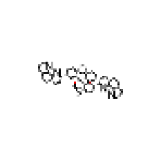 c1ccc2c(c1)Oc1ccc(-c3ccc4ccc5cccnc5c4n3)cc1C21c2ccccc2Sc2ccc(-c3ccc4ccc5cccnc5c4n3)cc21